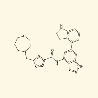 O=C(Nc1cc(-c2cccc3c2CCN3)cc2[nH]ncc12)c1csc(CN2CCCOCC2)n1